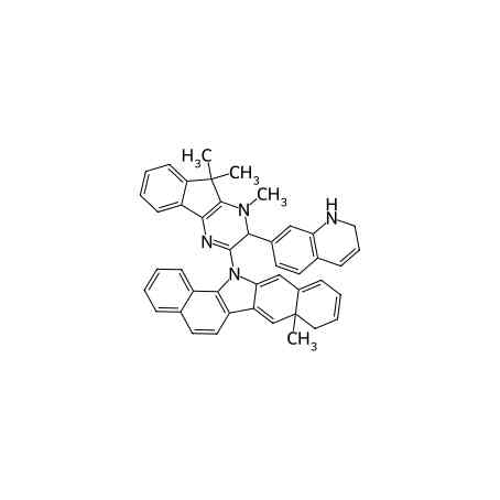 CN1C2=C(N=C(n3c4c(c5ccc6ccccc6c53)=CC3(C)CC=CC=C3C=4)C1c1ccc3c(c1)NCC=C3)c1ccccc1C2(C)C